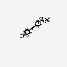 CC(C)(C)OC(=O)N1CC=C(C#Cc2ccc(Cl)cc2)CC1